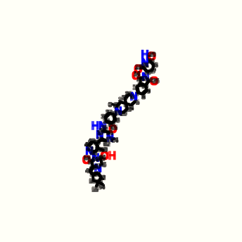 C[C@H]1CC2(CCN(c3ccc4c(c3)C(=O)N(C3CCC(=O)NC3=O)C4=O)CC2)CCN1c1ccc(Nc2nc(-c3ccnc(N4CCn5c(cc6c5CC(C)(C)C6)C4=O)c3CO)cn(C)c2=O)cc1